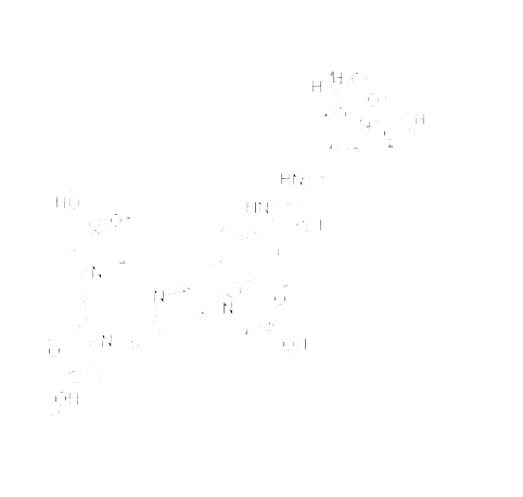 CO[Si](CCCNC(S)Nc1ccc(N(CCN2CCN(CC(=O)O)CCN(CC(=O)O)CC2)CC(=O)O)cc1)(OC)OC